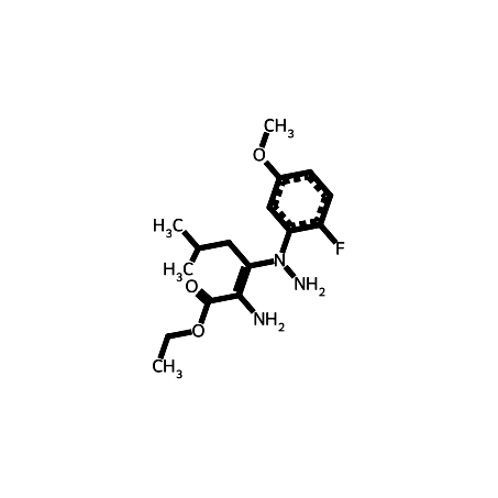 CCOC(=O)/C(N)=C(\CC(C)C)N(N)c1cc(OC)ccc1F